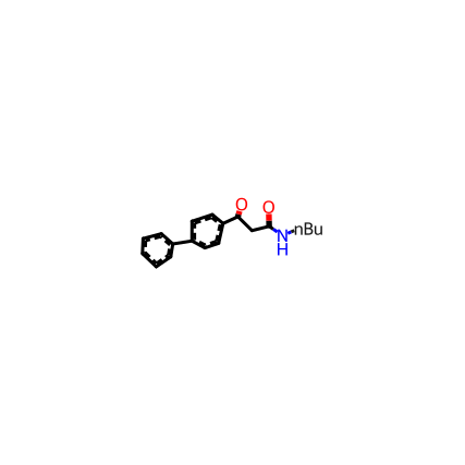 CCCCNC(=O)CC(=O)c1ccc(-c2ccccc2)cc1